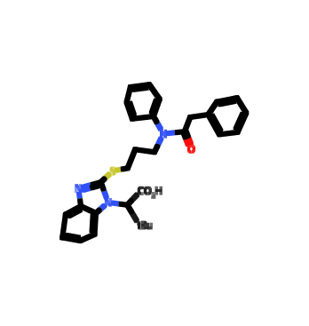 CC(C)(C)C(C(=O)O)n1c(SCCCN(C(=O)Cc2ccccc2)c2ccccc2)nc2ccccc21